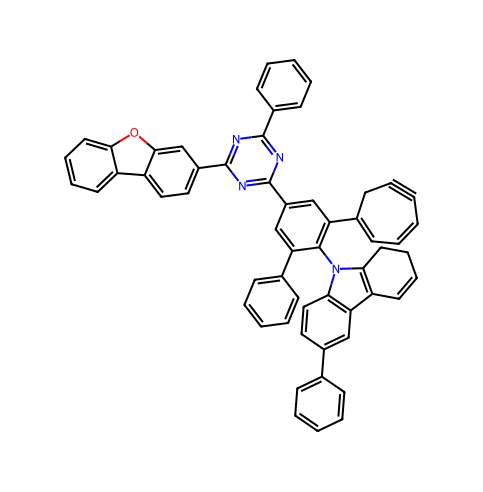 C1#CCC(c2cc(-c3nc(-c4ccccc4)nc(-c4ccc5c(c4)oc4ccccc45)n3)cc(-c3ccccc3)c2-n2c3c(c4cc(-c5ccccc5)ccc42)C=CCC3)=CC=C1